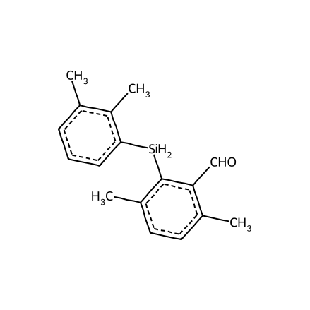 Cc1cccc([SiH2]c2c(C)ccc(C)c2C=O)c1C